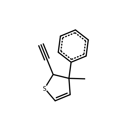 C#CC1SC=CC1(C)c1ccccc1